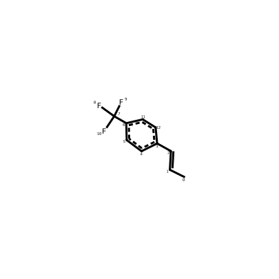 CC=Cc1ccc(C(F)(F)F)cc1